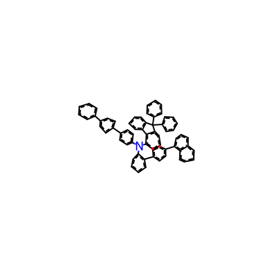 c1ccc(-c2ccc(-c3ccc(N(c4ccccc4-c4ccc(-c5cccc6ccccc56)cc4)c4cccc5c4-c4ccccc4C5(c4ccccc4)c4ccccc4)cc3)cc2)cc1